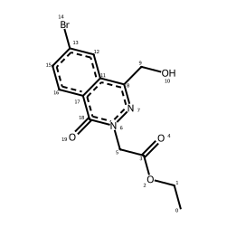 CCOC(=O)Cn1nc(CO)c2cc(Br)ccc2c1=O